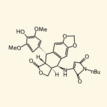 CCCCN1C(=O)C=C(N[C@@H]2c3cc4c(cc3[C@@H](c3cc(OC)c(O)c(OC)c3)[C@H]3C(=O)OC[C@@H]32)OCO4)C1=O